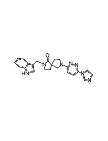 O=C1N(Cc2c[nH]c3ccccc23)CCC12CCN(c1ccc(-n3ccnc3)nn1)C2